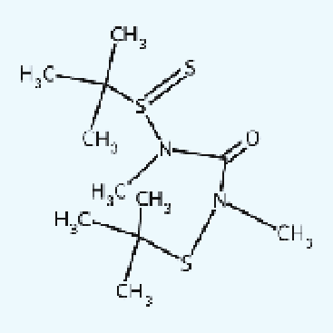 CN(SC(C)(C)C)C(=O)N(C)S(=S)C(C)(C)C